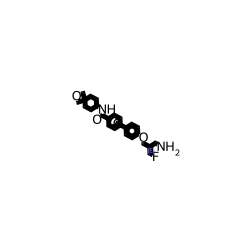 NC/C(=C\F)COc1ccc(C23CCC(C(=O)NC4CCC5(CC4)COC5)(CC2)CC3)cc1